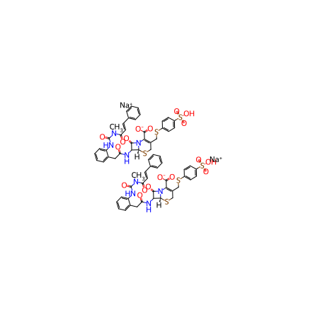 CN(C(=O)/C=C/c1ccccc1)C(=O)Nc1ccccc1CC(=O)NC1C(=O)N2C(C(=O)[O-])=C(CSc3ccc(S(=O)(=O)O)cc3)CS[C@H]12.CN(C(=O)/C=C/c1ccccc1)C(=O)Nc1ccccc1CC(=O)NC1C(=O)N2C(C(=O)[O-])=C(CSc3ccc(S(=O)(=O)O)cc3)CS[C@H]12.[Na+].[Na+]